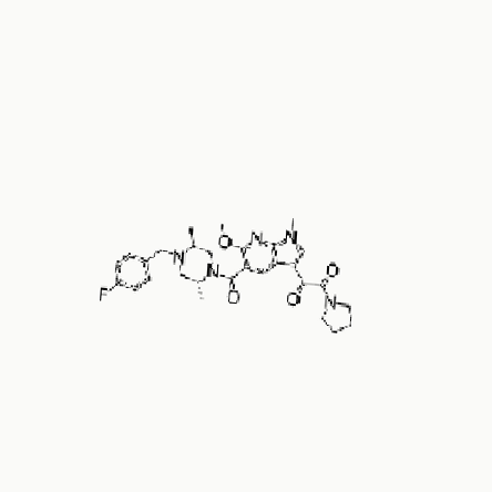 COc1nc2c(cc1C(=O)N1C[C@H](C)N(Cc3ccc(F)cc3)C[C@H]1C)c(C(=O)C(=O)N1CCCC1)cn2C